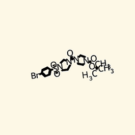 CC(C)(C)OC(=O)N1CCN(C(=O)N2CCCN(S(=O)(=O)c3ccc(Br)cc3)CC2)CC1